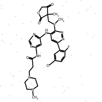 CN1CCN(CCC(=O)Nc2cc(Nc3cc(-c4cc(Cl)ccc4F)nnc3N(C)CC3(C)C(=O)COC3=O)ncn2)CC1